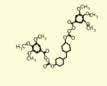 COc1cc(C(=O)OOC(=O)OC2CCC(CC3CCC(OC(=O)OOC(=O)c4cc(OC)c(OC)c(OC)c4)CC3)CC2)cc(OC)c1OC